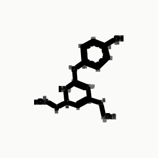 CCCCCCCCSC1=CN(SCCCCCCCC)NC(Oc2ccc(O)cc2)=N1